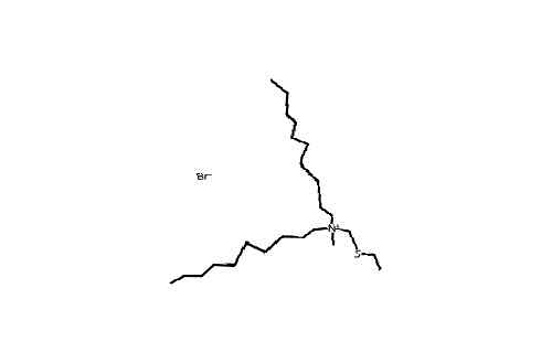 CCCCCCCCCC[N+](C)(CCCCCCCCCC)CSCC.[Br-]